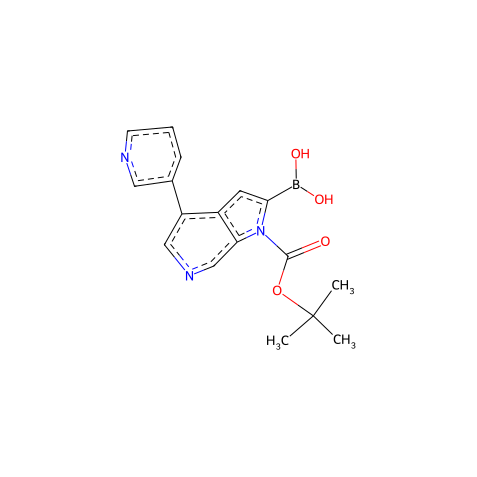 CC(C)(C)OC(=O)n1c(B(O)O)cc2c(-c3cccnc3)cncc21